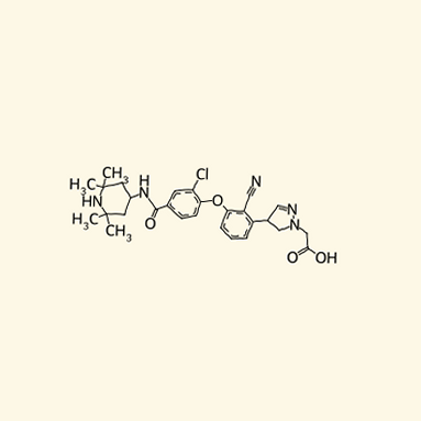 CC1(C)CC(NC(=O)c2ccc(Oc3cccc(C4C=NN(CC(=O)O)C4)c3C#N)c(Cl)c2)CC(C)(C)N1